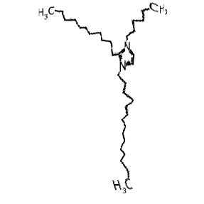 CCCCCCCCCCCCCCC[n+]1ccn(CCCCCC)c1CCCCCCCCCCC